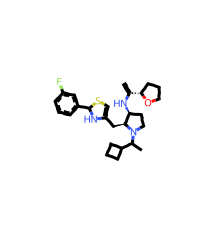 C=C(N[C@H]1CCN(C(C)C2CCC2)[C@H]1CC1=CSC(c2cccc(F)c2)N1)[C@@H]1CCCO1